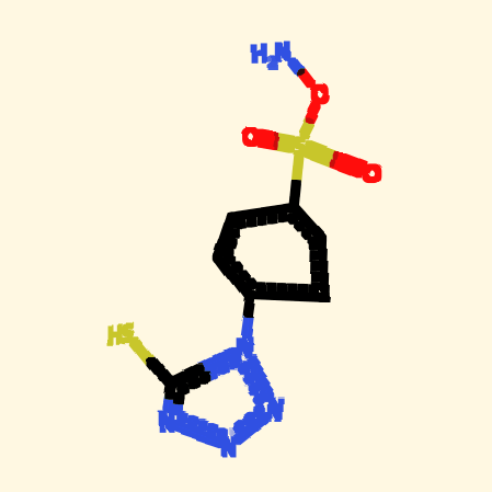 NOS(=O)(=O)c1ccc(-n2nnnc2S)cc1